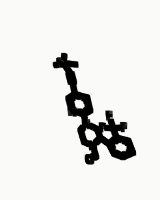 C[Si](C)(C)C#Cc1ccc(N2CCN(C=O)C(c3ccccc3C(F)(F)F)C2)nc1